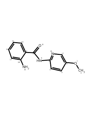 COc1ccc(NC(=O)c2ccccc2N)nc1